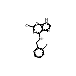 Fc1ccccc1CNc1nc(Cl)nc2[nH]cnc12